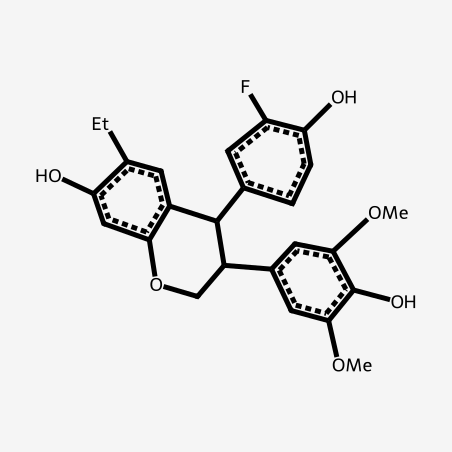 CCc1cc2c(cc1O)OCC(c1cc(OC)c(O)c(OC)c1)C2c1ccc(O)c(F)c1